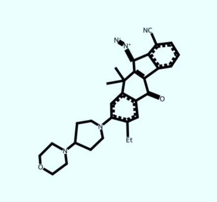 CCc1cc2c(cc1N1CCC(N3CCOCC3)CC1)C(C)(C)C1=C(C2=O)c2cccc(C#N)c2C1=[N+]=[N-]